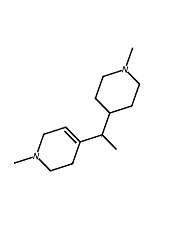 C[C](C1=CCN(C)CC1)C1CCN(C)CC1